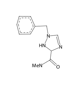 CNC(=O)C1N=CN(Cc2ccccc2)N1